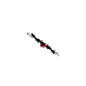 C=CC(=O)OCCCCOc1ccc(/C=C/C(=O)Oc2ccc(OC(=O)/C=C/c3ccc(OCCCCOC(=O)C=C)cc3F)c(C(F)(F)F)c2C(F)(F)F)c(F)c1